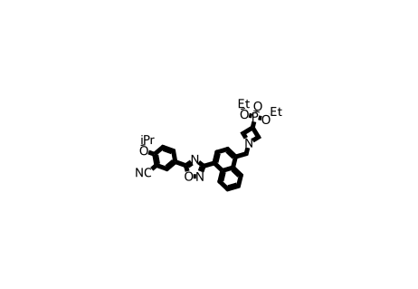 CCOP(=O)(OCC)C1CN(Cc2ccc(-c3noc(-c4ccc(OC(C)C)c(C#N)c4)n3)c3ccccc23)C1